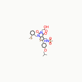 CSc1ccccc1Cn1c(=O)n(CC(=O)O)c(=O)c2c(CNS(C)(=O)=O)c(-c3ccc(OCC(C)C)cc3)sc21